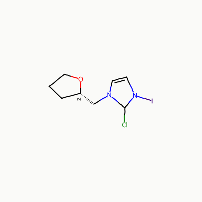 ClC1N(I)C=CN1C[C@@H]1CCCO1